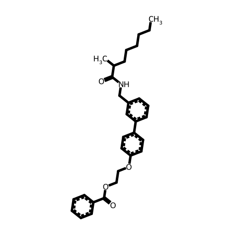 CCCCCCC(C)C(=O)NCc1cccc(-c2ccc(OCCOC(=O)c3ccccc3)cc2)c1